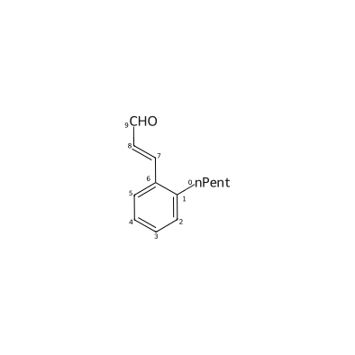 CCCCCc1ccccc1C=CC=O